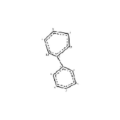 [c]1c[c]c(-c2ccccc2)cc1